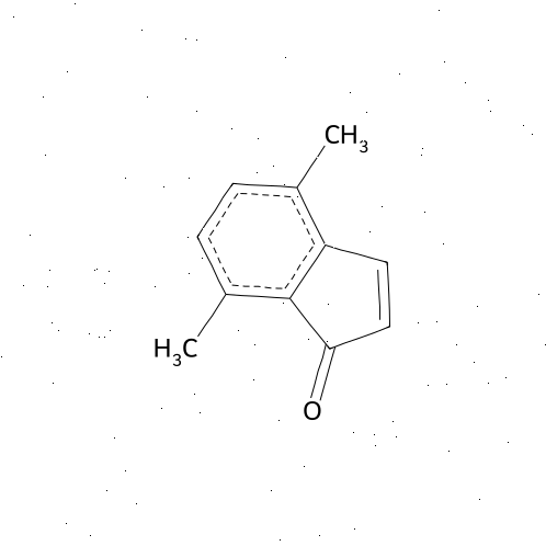 Cc1ccc(C)c2c1C=CC2=O